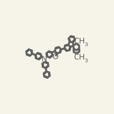 CC1CC2CC(C)C3(c4ccccc4-c4cc(-c5ccc6c(c5)oc5cc(N(c7ccc(-c8ccccc8)cc7)c7ccc(-c8ccccc8)cc7)ccc56)ccc43)C(C1)C2